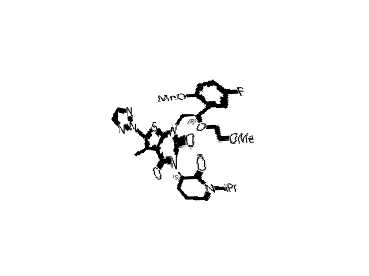 COCCO[C@@H](Cn1c(=O)n([C@H]2CCCN(C(C)C)C2=O)c(=O)c2c(C)c(-n3nccn3)sc21)c1cc(F)ccc1OC